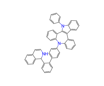 C1=Cc2ccccc2C(c2ccccc2-c2ccc(N3c4ccccc4-c4c(n(-c5ccccc5)c5ccccc45)-c4ccccc43)cc2)N1